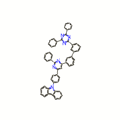 c1ccc(-c2nc(-c3ccc(-n4c5ccccc5c5ccccc54)cc3)cc(-c3cccc(-c4cccc(-c5nc(-c6ccccc6)nc(-c6ccccc6)n5)c4)c3)n2)cc1